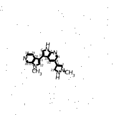 CN1C=C(c2cnc3[nH]cc(-c4cn(C)c5cnccc45)c3c2)CN1